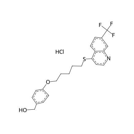 Cl.OCc1ccc(OCCCCCSc2ccnc3cc(C(F)(F)F)ccc23)cc1